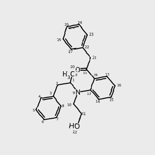 CC(Cc1ccccc1)N(CCO)c1ccccc1C(=O)Cc1ccccc1